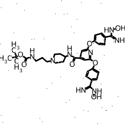 CC(C)(C)OC(=O)NCCCN1CCC(NC(=O)c2cc(Oc3ccc(C(=N)NO)cc3)nc(Oc3ccc(C(=N)NO)cc3)c2)CC1